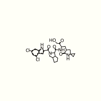 O=C1NC2(CC2)CC1CC(NC(=O)C1C2CCCC2CN1C(=O)c1cc2c(Cl)cc(Cl)cc2[nH]1)C(=O)CO